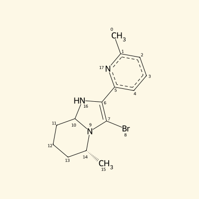 Cc1cccc(C2=C(Br)N3C(CCC[C@H]3C)N2)n1